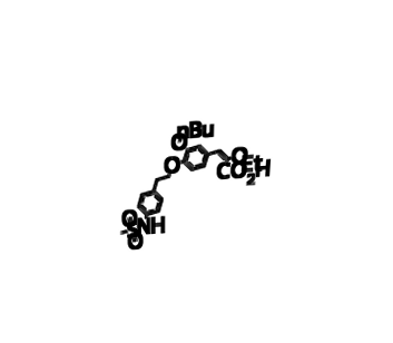 CCCCOc1cc(/C=C(/OCC)C(=O)O)ccc1OCCc1ccc(NS(C)(=O)=O)cc1